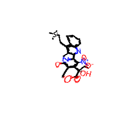 CC[C@@]1(O)C(=O)OCc2c1c([N+](=O)[O-])c1n(c2=O)Cc2c-1nc1ccccc1c2CC[Si](C)(C)C